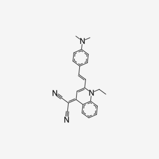 CCN1C(/C=C/c2ccc(N(C)C)cc2)=CC(=C(C#N)C#N)c2ccccc21